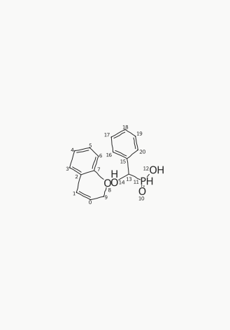 C1=Cc2ccccc2OC1.O=[PH](O)C(O)c1ccccc1